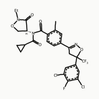 CCN1OC[C@@H](N(C(=O)c2ccc(C3=NOC(c4cc(Cl)c(F)c(Cl)c4)(C(F)(F)F)C3)cc2C)C(=O)C2CC2)C1=O